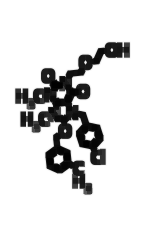 Cc1cccc(COC2N(C)c3c(c(=O)n(CCOCCO)c(=O)n3C)N2Cc2ccc(Cl)cc2)c1